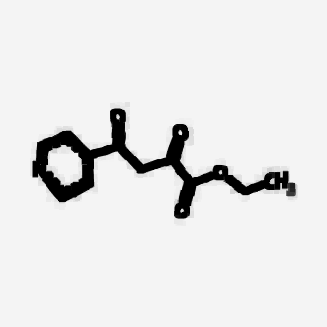 CCOC(=O)C(=O)CC(=O)c1ccncc1